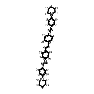 C(=Cc1ccc(N=Nc2ccc(N3CCCCC3)cc2)cc1)c1ccc(N=Nc2ccc(N3CCCCC3)cc2)cc1